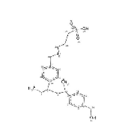 CCC(CC(C)c1ccc(CO)cc1)c1ccc(COCCCS(=O)(=O)O)cc1